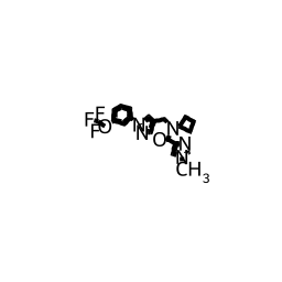 Cn1cnc(C(=O)N(Cc2cnn(-c3cccc(OC(F)(F)F)c3)c2)C2CCC2)c1